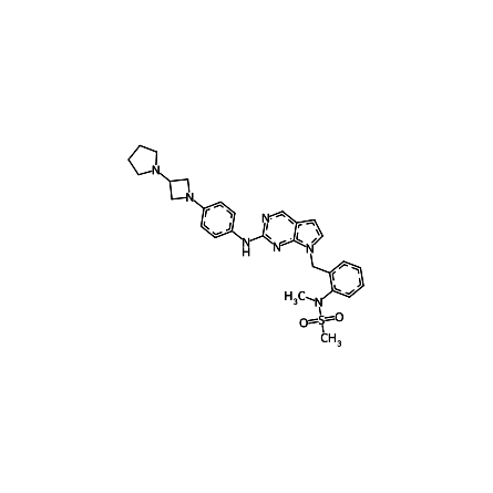 CN(c1ccccc1Cn1ccc2cnc(Nc3ccc(N4CC(N5CCCC5)C4)cc3)nc21)S(C)(=O)=O